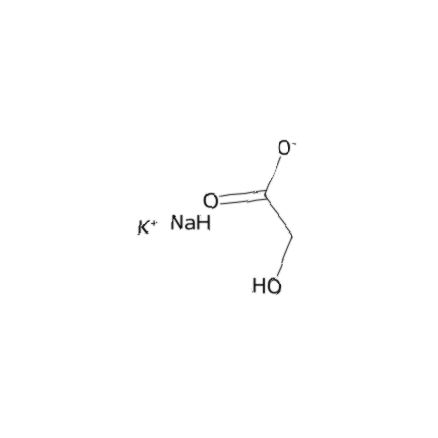 O=C([O-])CO.[K+].[NaH]